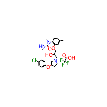 CNC(=O)N(C)c1ccc(C)cc1OCC(O)CN1CCC(Oc2ccc(Cl)cc2)C1.O=C(O)C(F)(F)F